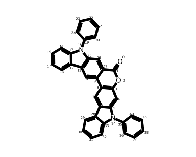 O=c1oc2cc3c(cc2c2cc4c5ccccc5n(-c5ccccc5)c4cc12)c1ccccc1n3-c1ccccc1